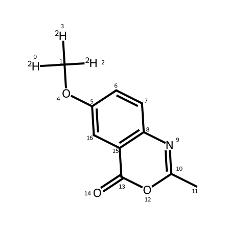 [2H]C([2H])([2H])Oc1ccc2nc(C)oc(=O)c2c1